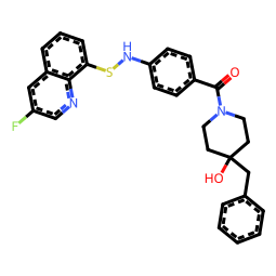 O=C(c1ccc(NSc2cccc3cc(F)cnc23)cc1)N1CCC(O)(Cc2ccccc2)CC1